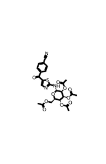 CC(=O)OC[C@H]1O[C@H](Nc2ncc(C(=O)c3ccc(C#N)cc3)s2)[C@@H](OC(C)=O)[C@@H](OC(C)=O)[C@@H]1OC(C)=O